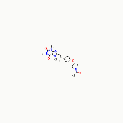 CCn1c(=O)c2c(nc(/C=C/c3ccc(OC4CCN(C(=O)C5CC5)CC4)cc3)n2C)n(CC)c1=O